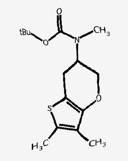 Cc1sc2c(c1C)OCC(N(C)C(=O)OC(C)(C)C)C2